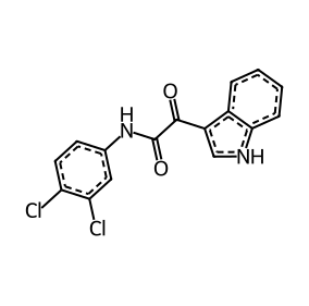 O=C(Nc1ccc(Cl)c(Cl)c1)C(=O)c1c[nH]c2ccccc12